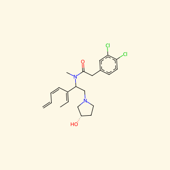 C=C/C=C\C(=C/C)C(CN1CC[C@H](O)C1)N(C)C(=O)Cc1ccc(Cl)c(Cl)c1